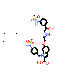 CS(=O)(=O)Nc1ccc(Cn2c(C(=O)O)cc3ccc(OCCNC[C@H](O)c4cccc(NS(C)(=O)=O)c4)cc32)cc1